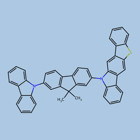 CC1(C)c2cc(-n3c4ccccc4c4ccccc43)ccc2-c2ccc(-n3c4ccccc4c4cc5sc6ccccc6c5cc43)cc21